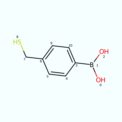 OB(O)c1ccc(CS)cc1